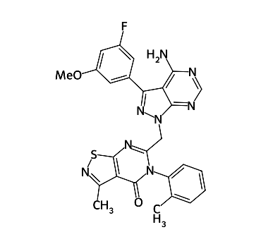 COc1cc(F)cc(-c2nn(Cc3nc4snc(C)c4c(=O)n3-c3ccccc3C)c3ncnc(N)c23)c1